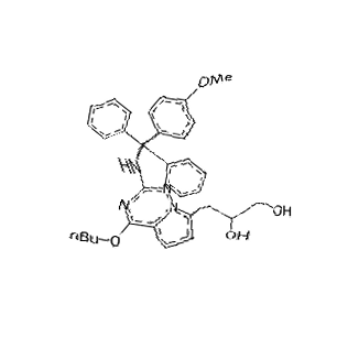 CCCCOc1nc(NC(c2ccccc2)(c2ccccc2)c2ccc(OC)cc2)nn2c(CC(O)CO)ccc12